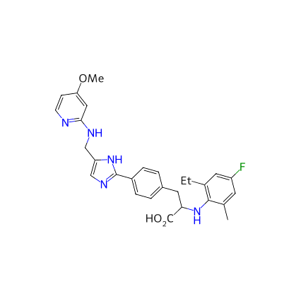 CCc1cc(F)cc(C)c1NC(Cc1ccc(-c2ncc(CNc3cc(OC)ccn3)[nH]2)cc1)C(=O)O